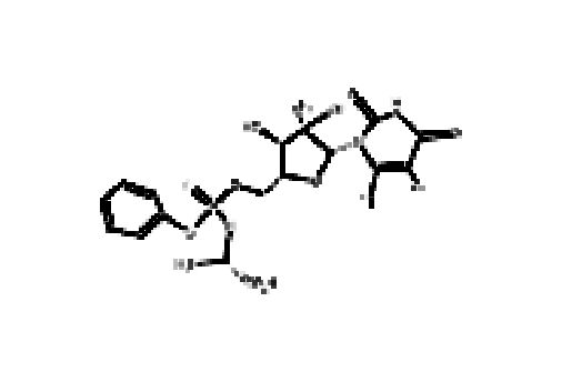 [2H]c1c([2H])n([C@@H]2O[C@H](COP(=O)(N[C@@H](C)C(=O)O)Oc3ccccc3)[C@@H](O)[C@@]2(C)O)c(=O)[nH]c1=O